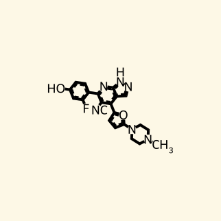 CN1CCN(c2ccc(-c3c(C#N)c(-c4ccc(O)cc4F)nc4[nH]ncc34)o2)CC1